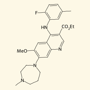 CCOC(=O)c1cnc2cc(N3CCCN(C)CC3)c(OC)cc2c1Nc1cc(C)ccc1F